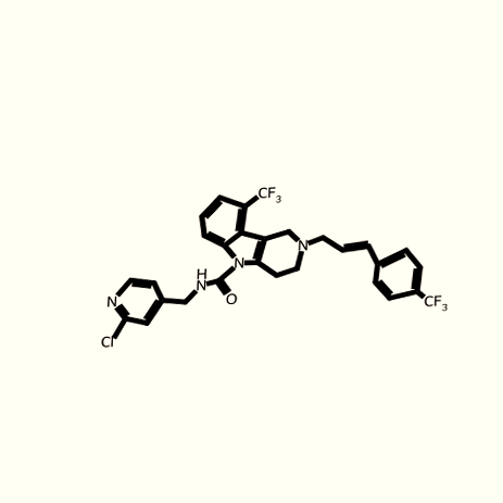 O=C(NCc1ccnc(Cl)c1)n1c2c(c3c(C(F)(F)F)cccc31)CN(CC=Cc1ccc(C(F)(F)F)cc1)CC2